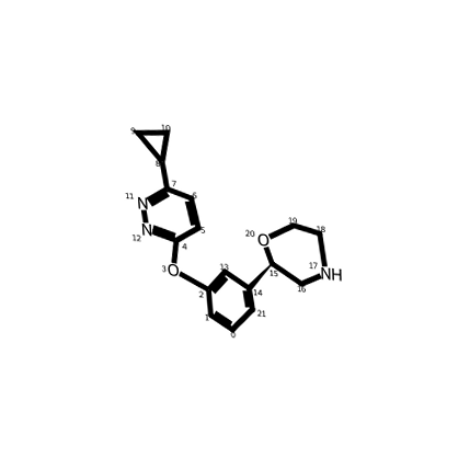 c1cc(Oc2ccc(C3CC3)nn2)cc([C@@H]2CNCCO2)c1